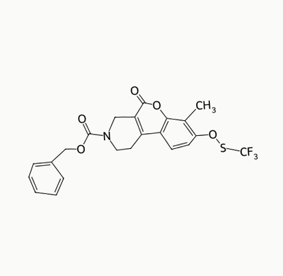 Cc1c(OSC(F)(F)F)ccc2c3c(c(=O)oc12)CN(C(=O)OCc1ccccc1)CC3